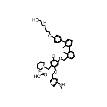 CNc1cncc(COc2cc(OCc3cccc(-c4cccc(-c5ccc(OCCNCCO)cc5)c4C)c3C)c(Cl)cc2CN2CCCC[C@H]2C(=O)O)c1